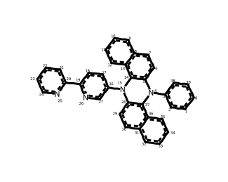 c1ccc(N2c3ccc4ccccc4c3N(c3ccc(-c4ccccn4)nc3)c3ccc4ccccc4c32)cc1